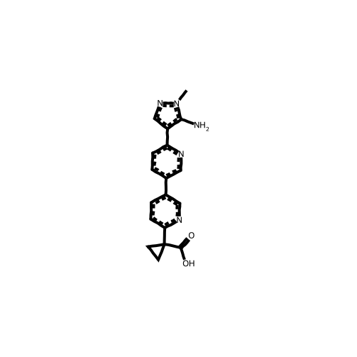 Cn1ncc(-c2ccc(-c3ccc(C4(C(=O)O)CC4)nc3)cn2)c1N